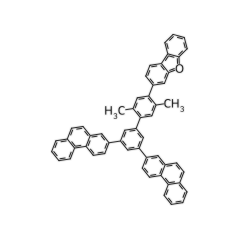 Cc1cc(-c2ccc3c(c2)oc2ccccc23)c(C)cc1-c1cc(-c2ccc3c(ccc4ccccc43)c2)cc(-c2ccc3c(ccc4ccccc43)c2)c1